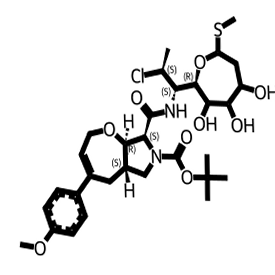 COc1ccc(C2=CCO[C@@H]3[C@@H](C2)CN(C(=O)OC(C)(C)C)[C@@H]3C(=O)N[C@H]([C@H](C)Cl)[C@H]2OC(SC)CC(O)C(O)C2O)cc1